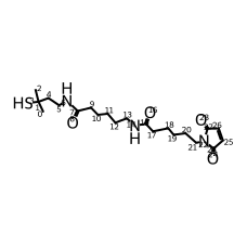 CC(C)(S)CCNC(=O)CCCCCNC(=O)CCCCCN1C(=O)C=CC1=O